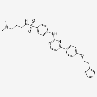 CN(C)CCCNS(=O)(=O)c1ccc(Nc2nccc(-c3ccc(OCCc4cccs4)cc3)n2)cc1